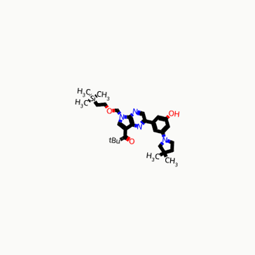 CC1(C)CCN(c2cc(O)cc(-c3cnc4c(n3)c(C(=O)C(C)(C)C)cn4COCC[Si](C)(C)C)c2)C1